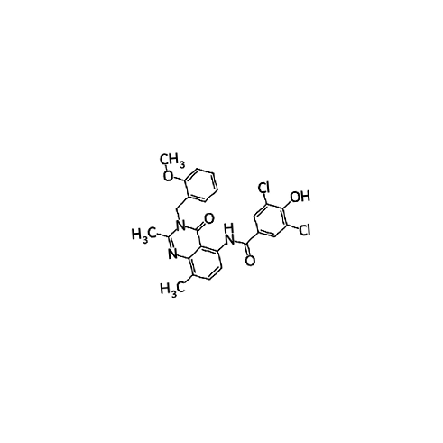 COc1ccccc1Cn1c(C)nc2c(C)ccc(NC(=O)c3cc(Cl)c(O)c(Cl)c3)c2c1=O